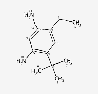 CCc1cc(C(C)(C)C)c(N)cc1N